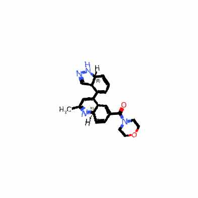 CC1=N[C@@H]2C=CC(C(=O)N3CCOCC3)=CC2C(C2=CC=C[C@H]3NN=CC23)=C1